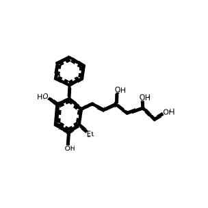 CCc1c(O)cc(O)c(-c2ccccc2)c1CCC(O)CC(O)CO